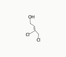 OCC=C(Cl)CCl